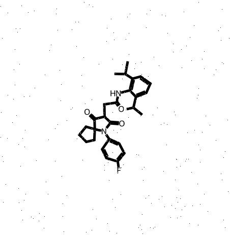 CC(C)c1cccc(C(C)C)c1NC(=O)CC1C(=O)N(c2ccc(F)cc2)C2(CCCC2)C1=O